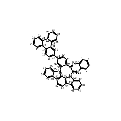 c1ccc2nc3c(nc2c1)c1ccc(-c2ccc4c5ccccc5c5ccccc5c4c2)cc1n1c2ccccc2c2ccc4c5ccccc5n3c4c21